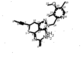 C=C(N)/N=C1/SC(C#CC)Cc2nn(Cc3ncc(C)c(OC)c3C)c(N)c21